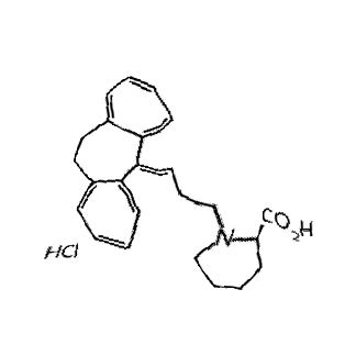 Cl.O=C(O)[C@H]1CCCCN1CCC=C1c2ccccc2CCc2ccccc21